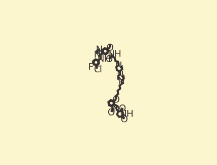 COc1cc2ncnc(Nc3ccc(F)c(Cl)c3)c2cc1NC(=O)CCCN1CCC(N2CCN(CCCCCCOc3cccc4c3CN(C3CCC(=O)NC3=O)C4=O)CC2)CC1